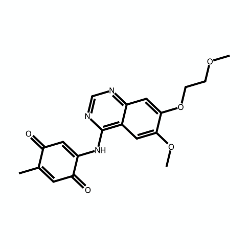 COCCOc1cc2ncnc(NC3=CC(=O)C(C)=CC3=O)c2cc1OC